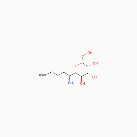 CCCCCCCCCCCCCC(N)C1O[C@H](CO)[C@H](O)[C@H](O)[C@H]1O